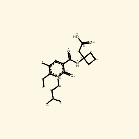 CCc1c(C)cc(C(=O)NC2(CC(=O)O)CCC2)c(=O)n1CCC(C)C